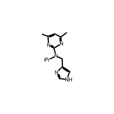 Cc1cc(C)nc(N(Cc2c[nH]cn2)C(C)C)n1